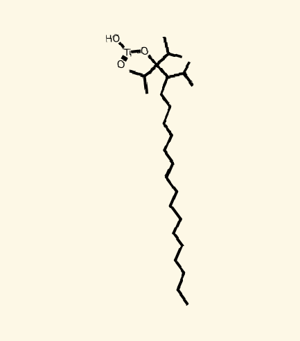 CCCCCCCCCCCCCCCCC(C(C)C)C([O][Ti](=[O])[OH])(C(C)C)C(C)C